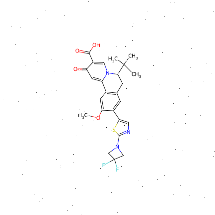 COc1cc2c(cc1-c1cnc(N3CC(F)(F)C3)s1)CC(C(C)(C)C)n1cc(C(=O)O)c(=O)cc1-2